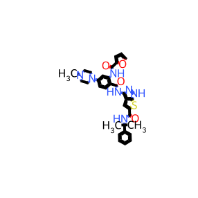 CN1CCN(c2ccc(C(=O)Nc3n[nH]c4sc(C(=O)NC(C)(C)c5ccccc5)cc34)c(NC(=O)c3ccco3)c2)CC1